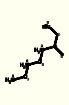 CCCCCC(C)[SiH2]O[SiH2]O[SiH3]